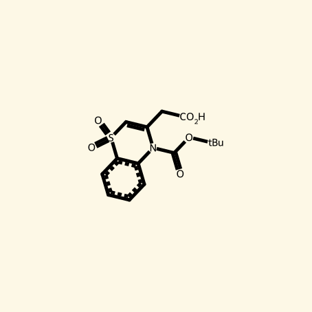 CC(C)(C)OC(=O)N1C(CC(=O)O)=CS(=O)(=O)c2ccccc21